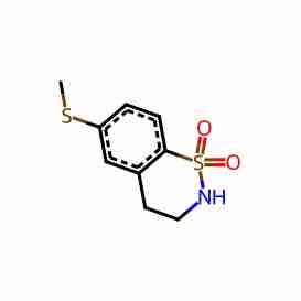 CSc1ccc2c(c1)CCNS2(=O)=O